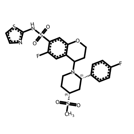 CS(=O)(=O)[C@@H]1CCN(C2CCOc3cc(S(=O)(=O)Nc4nccs4)c(F)cc32)[C@H](c2ccc(F)cc2)C1